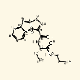 CC(C)CCNC(=O)[C@H](CC(C)C)NC(=O)c1nsc2nc3ccccc3n12